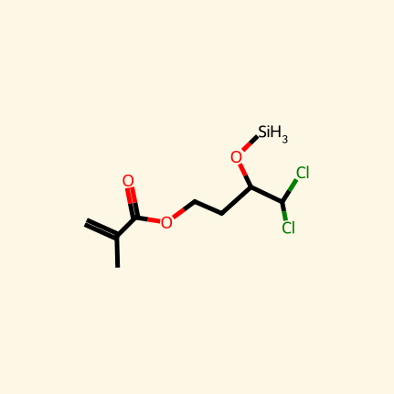 C=C(C)C(=O)OCCC(O[SiH3])C(Cl)Cl